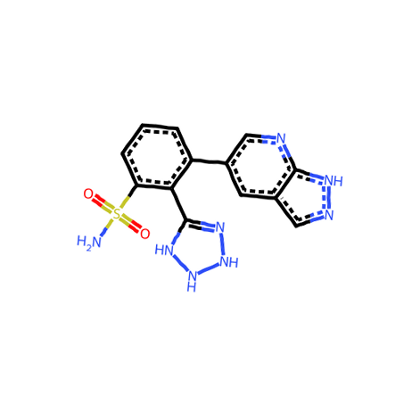 NS(=O)(=O)c1cccc(-c2cnc3[nH]ncc3c2)c1C1=NNNN1